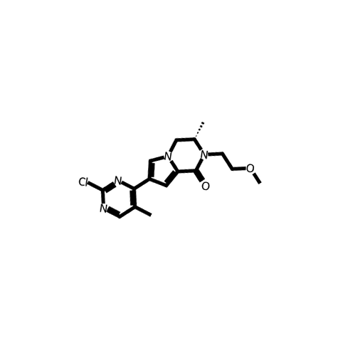 COCCN1C(=O)c2cc(-c3nc(Cl)ncc3C)cn2C[C@@H]1C